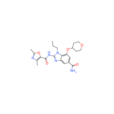 CCCn1c(NC(=O)c2oc(C)nc2C)nc2cc(C(N)=O)cc(OC3CCOCC3)c21